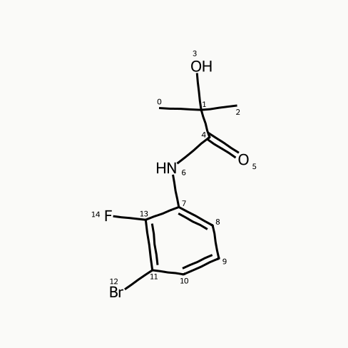 CC(C)(O)C(=O)Nc1cccc(Br)c1F